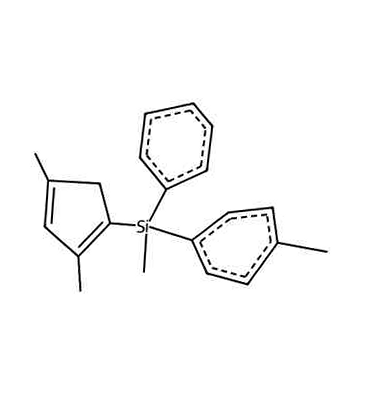 CC1=CC(C)=C([Si](C)(c2ccccc2)c2ccc(C)cc2)C1